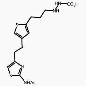 CC(=O)Nc1nc(CCc2csc(CCCNNC(=O)O)c2)cs1